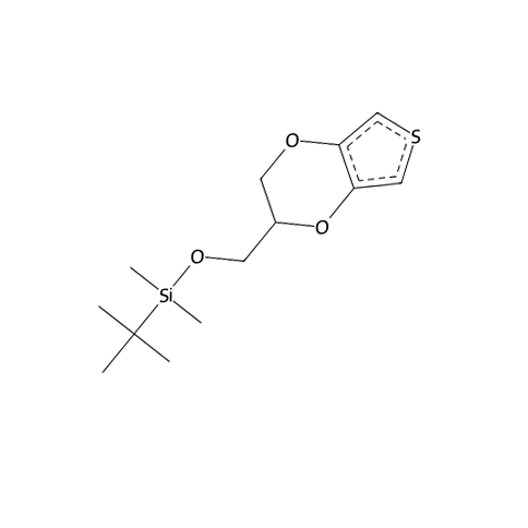 CC(C)(C)[Si](C)(C)OCC1COc2cscc2O1